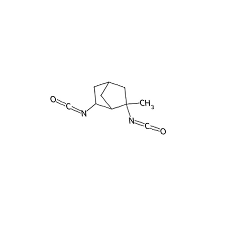 CC1(N=C=O)CC2CC(N=C=O)C1C2